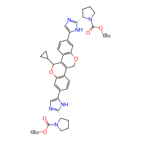 CC(C)(C)OC(=O)N1CCC[C@H]1c1ncc(-c2ccc3c(c2)OC(C2CC2)C2=C3COc3cc(-c4cnc([C@@H]5CCCN5C(=O)OC(C)(C)C)[nH]4)ccc32)[nH]1